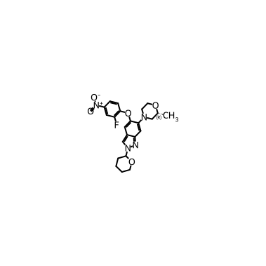 C[C@@H]1CN(c2cc3nn(C4CCCCO4)cc3cc2Oc2ccc([N+](=O)[O-])cc2F)CCO1